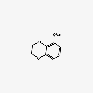 COc1c[c]cc2c1OCCO2